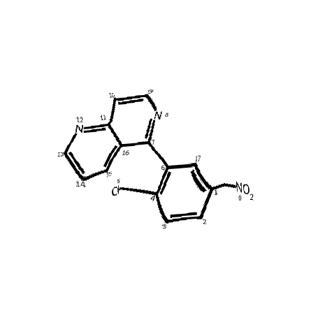 O=[N+]([O-])c1ccc(Cl)c(-c2nccc3ncccc23)c1